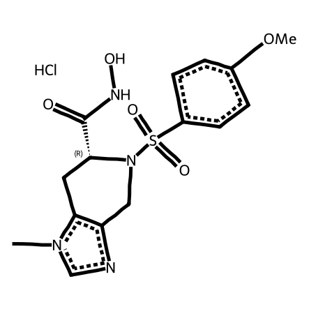 COc1ccc(S(=O)(=O)N2Cc3ncn(C)c3C[C@@H]2C(=O)NO)cc1.Cl